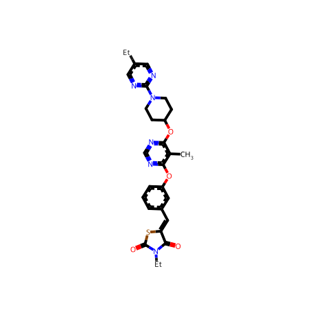 CCc1cnc(N2CCC(Oc3ncnc(Oc4cccc(/C=C5\SC(=O)N(CC)C5=O)c4)c3C)CC2)nc1